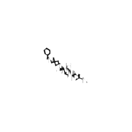 C[C@H]1CN(c2ncc(C#N)cn2)[C@@H](C)CN1C(=O)NC1CC2(C1)CN(Cc1ccccc1)C2